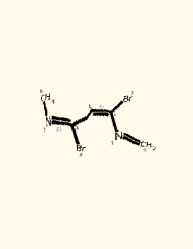 C=N/C(Br)=C\C(Br)=N/C